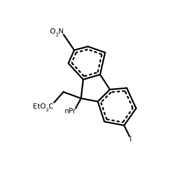 CCCC1(CC(=O)OCC)c2cc(I)ccc2-c2ccc([N+](=O)[O-])cc21